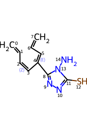 C=C/C=C\C(=C/C=C)c1nnc(S)n1N